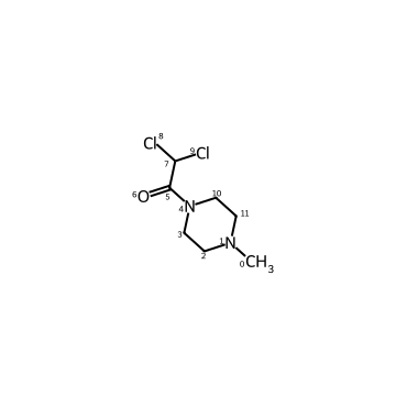 CN1CCN(C(=O)C(Cl)Cl)CC1